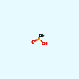 O=PO.[Co]